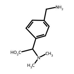 CN(C)C(C(=O)O)c1ccc(CN)cc1